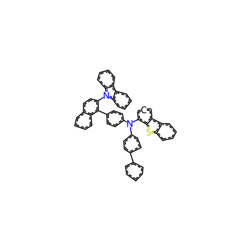 c1ccc(-c2ccc(N(c3ccc(-c4c(-n5c6ccccc6c6ccccc65)ccc5ccccc45)cc3)c3cccc4c3sc3ccccc34)cc2)cc1